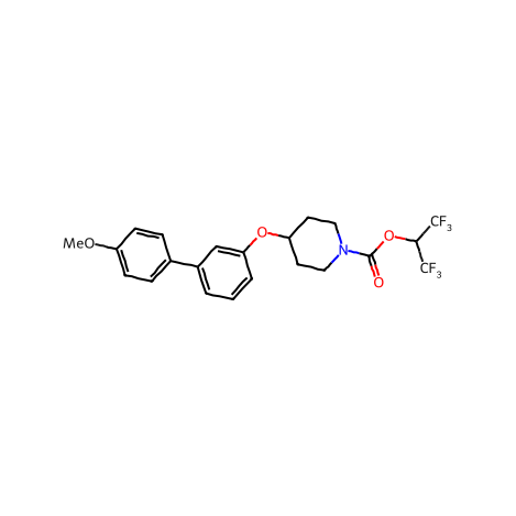 COc1ccc(-c2cccc(OC3CCN(C(=O)OC(C(F)(F)F)C(F)(F)F)CC3)c2)cc1